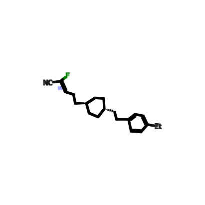 CCc1ccc(CC[C@H]2CC[C@H](CC/C=C(\F)C#N)CC2)cc1